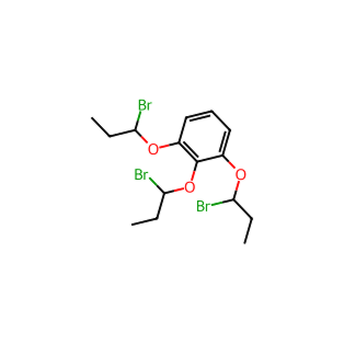 CCC(Br)Oc1cccc(OC(Br)CC)c1OC(Br)CC